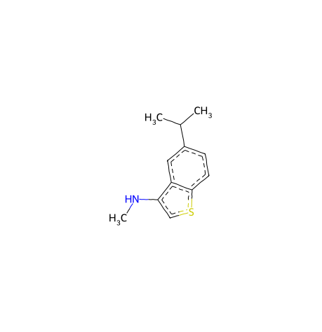 CNc1csc2ccc(C(C)C)cc12